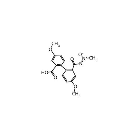 COc1ccc(-c2ccc(OC)cc2C(=O)N=[N+](C)[O-])c(C(=O)O)c1